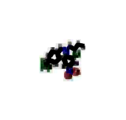 CCCCN(Cc1ccc(C(F)(F)F)cc1)c1ccc([N+](=O)[O-])cc1Cl